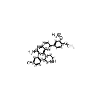 COc1ccc(-c2cnc3nc(N)nc(N4CCNCC4c4ccc(Cl)cc4)c3n2)cc1OC